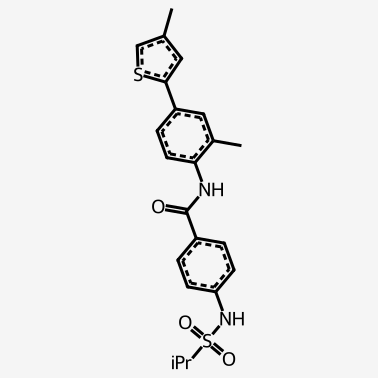 Cc1csc(-c2ccc(NC(=O)c3ccc(NS(=O)(=O)C(C)C)cc3)c(C)c2)c1